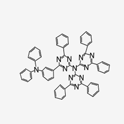 c1ccc(-c2nc(-c3ccccc3)nc(N(c3nc(-c4ccccc4)nc(-c4ccccc4)n3)c3nc(-c4ccccc4)nc(-c4cccc(N(c5ccccc5)c5ccccc5)c4)n3)n2)cc1